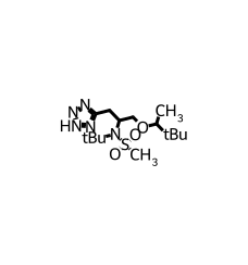 CC(OCC(Cc1nn[nH]n1)N(C(C)(C)C)S(C)(=O)=O)C(C)(C)C